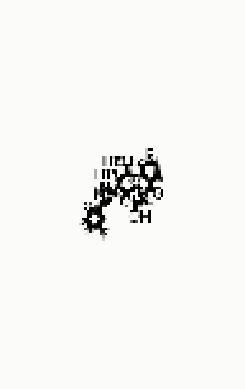 O=C(c1ccc(F)c(F)c1)N(CCO)[C@@H]1O[C@H](CO)[C@H](O)[C@H](n2cc(-c3cccc(F)c3)nn2)[C@H]1O